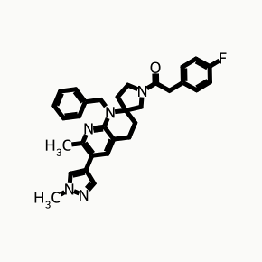 Cc1nc2c(cc1-c1cnn(C)c1)CCC1(CCN(C(=O)Cc3ccc(F)cc3)C1)N2Cc1ccccc1